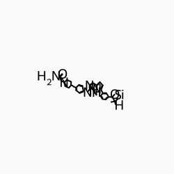 C[SiH](C)OC(c1cccc(-c2ccc3cnc(Nc4ccc(C5CCN(CC(N)=O)CC5)cc4)nn23)c1)C(C)(C)C